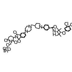 CC(C)OC(=O)OCN1C(=O)CCC(N2C(=O)c3ccc(N4CCN(CC5CCN(c6ccc(C(=O)N[C@H]7C(C)(C)[C@H](Oc8ccc(C#N)c(Cl)c8)C7(C)C)cc6)CC5)CC4)cc3C2=O)C1=O